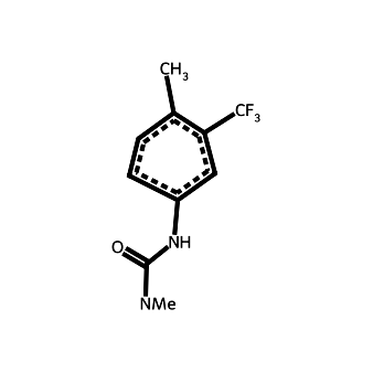 CNC(=O)Nc1ccc(C)c(C(F)(F)F)c1